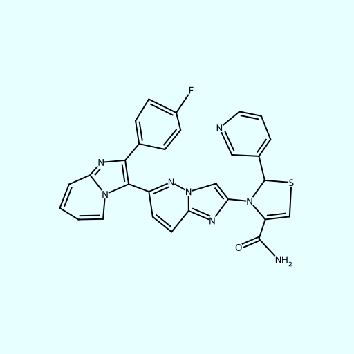 NC(=O)C1=CSC(c2cccnc2)N1c1cn2nc(-c3c(-c4ccc(F)cc4)nc4ccccn34)ccc2n1